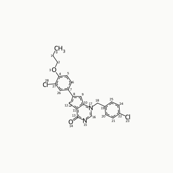 CCCOc1ccc(-c2cc3c(s2)c(=O)ncn3Cc2ccc(Cl)cc2)cc1Cl